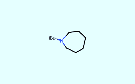 CC[C@H](C)N1CCCCCC1